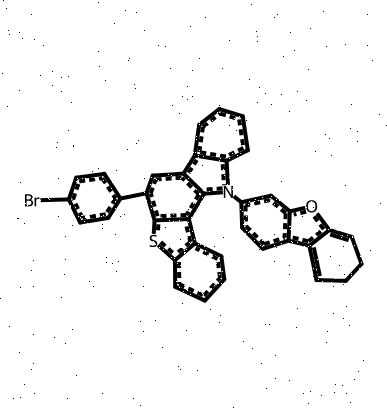 Brc1ccc(-c2cc3c4ccccc4n(-c4ccc5c6c(oc5c4)=CCCC=6)c3c3c2sc2ccccc23)cc1